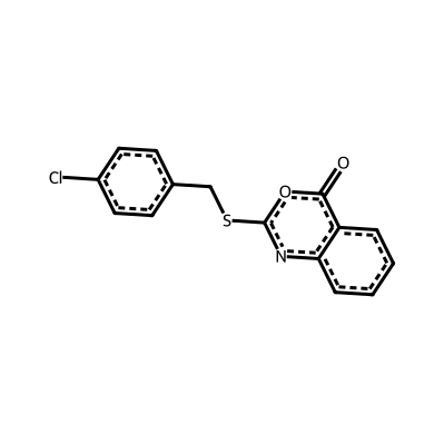 O=c1oc(SCc2ccc(Cl)cc2)nc2ccccc12